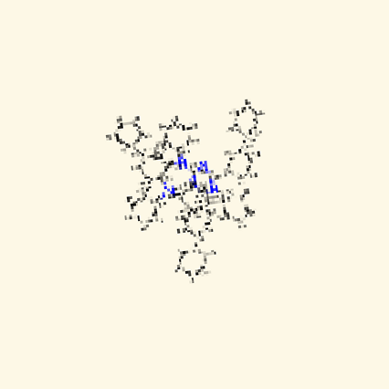 c1ccc(-c2ccc(-c3nc(-c4cccc(-c5ccccc5)c4)nc(-n4c5ccccc5c5c(-c6ccccc6)cc6c7ccccc7n(-c7ccc(-c8ccccc8)cc7)c6c54)n3)cc2)cc1